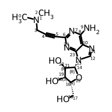 CN(C)CC#Cc1nc(N)c2ncn([C@@H]3O[C@H](CO)[C@@H](O)[C@H]3O)c2n1